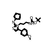 COc1ccc(-c2csc(=Nc3ccccc3)n2CCCNC(=O)OC(C)(C)C)cc1